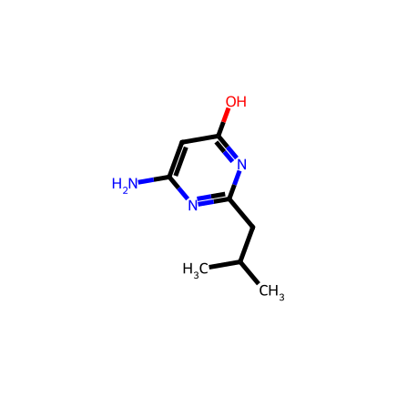 CC(C)Cc1nc(N)cc(O)n1